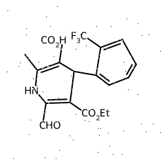 CCOC(=O)C1=C(C=O)NC(C)=C(C(=O)O)C1c1ccccc1C(F)(F)F